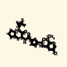 COc1ncc(Cl)cc1N[C@@H](C)c1ccc(C(=O)N[C@@H](CC2CCCC2)C(=O)N[C@H]2CC2(F)F)s1